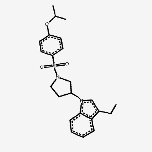 CCc1cn(C2CCN(S(=O)(=O)c3ccc(OC(C)C)cc3)C2)c2ccccc12